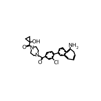 NC1=c2ccc(-c3ccc(C(=O)N4CCN(C(=O)C5(O)CC5)CC4)cc3Cl)cc2=CC=CC1